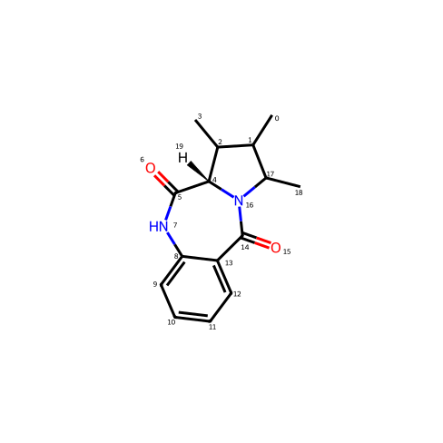 CC1C(C)[C@H]2C(=O)Nc3ccccc3C(=O)N2C1C